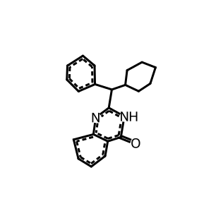 O=c1[nH]c(C(c2ccccc2)C2CCCCC2)nc2ccccc12